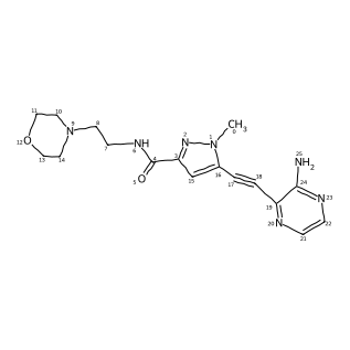 Cn1nc(C(=O)NCCN2CCOCC2)cc1C#Cc1nccnc1N